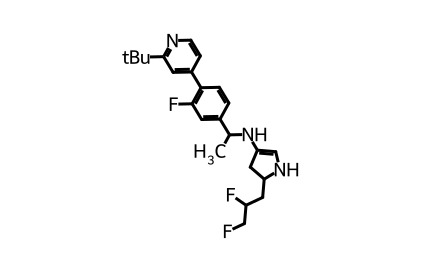 CC(NC1=CNC(CC(F)CF)C1)c1ccc(-c2ccnc(C(C)(C)C)c2)c(F)c1